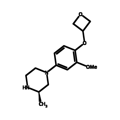 COc1cc(N2CCN[C@H](C)C2)ccc1OC1COC1